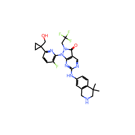 CC1(C)CNCc2cc(Nc3ncc4c(=O)n(CC(F)(F)F)n(-c5nc(C6(CO)CC6)ccc5F)c4n3)ccc21